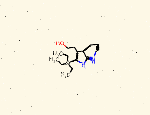 CC[Si](CC)(CC)c1[nH]c2ncccc2c1CCO